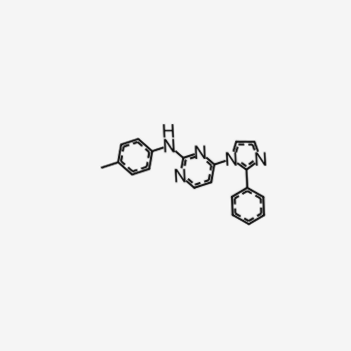 Cc1ccc(Nc2nccc(-n3ccnc3-c3ccccc3)n2)cc1